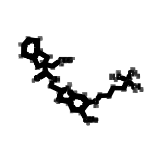 COc1cc2sc(CNC(=O)C3(CC(=O)[O-])Cc4ccccc4C3)nc2cc1OCCCC[N+](C)(C)C